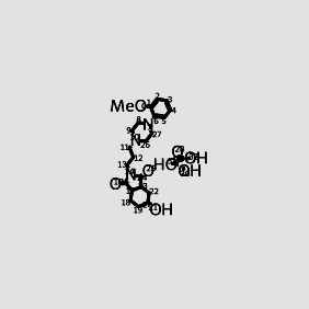 COc1ccccc1N1CCN(CCCN2C(=O)C3CCC(O)CC3C2=O)CC1.O=P(O)(O)O